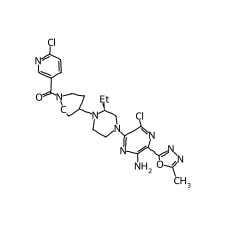 CC[C@H]1CN(c2nc(N)c(-c3nnc(C)o3)nc2Cl)CCN1C1CCN(C(=O)c2ccc(Cl)nc2)CC1